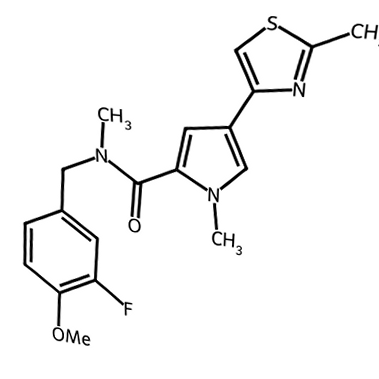 COc1ccc(CN(C)C(=O)c2cc(-c3csc(C)n3)cn2C)cc1F